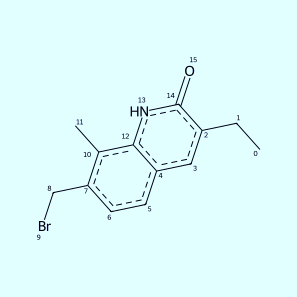 CCc1cc2ccc(CBr)c(C)c2[nH]c1=O